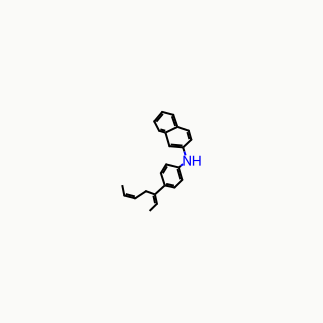 C/C=C\C/C(=C\C)c1ccc(Nc2ccc3ccccc3c2)cc1